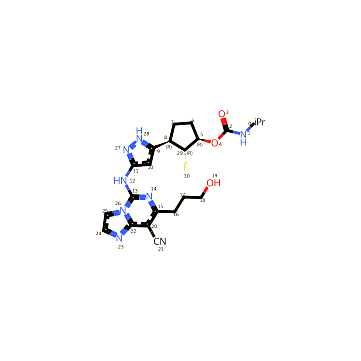 CC(C)NC(=O)O[C@@H]1CC[C@H](c2cc(Nc3nc(CCCO)c(C#N)c4nccn34)n[nH]2)[C@H]1F